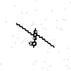 CCCCCCCCCCCCc1c2cc(-c3ccc(C)c4nsnc34)sc2c(CCCCCCCCCCCC)c2cc(C)sc12